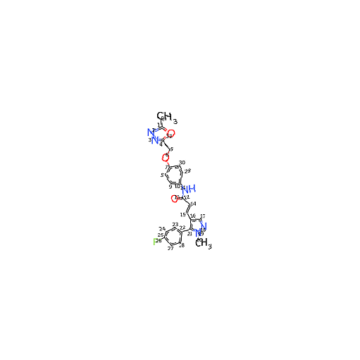 Cc1nnc(COc2ccc(NC(=O)/C=C/c3cnn(C)c3-c3ccc(F)cc3)cc2)o1